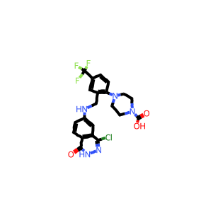 O=C(O)N1CCN(c2ccc(C(F)(F)F)cc2CNc2ccc3c(=O)[nH]nc(Cl)c3c2)CC1